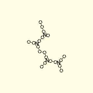 c1ccc(-c2ccc(-c3ccc(N(c4ccccc4)c4ccc(-c5ccc(N(c6ccc(-c7ccccc7)cc6)c6ccc(-c7cccc(-c8cccc(-c9ccc(N(c%10ccc(-c%11ccccc%11)cc%10)c%10ccc(-c%11ccc(N(c%12ccc(-c%13ccccc%13)cc%12)c%12ccc(-c%13ccccc%13)cc%12)cc%11)cc%10)cc9)c8)c7)cc6)cc5)cc4)cc3)cc2)cc1